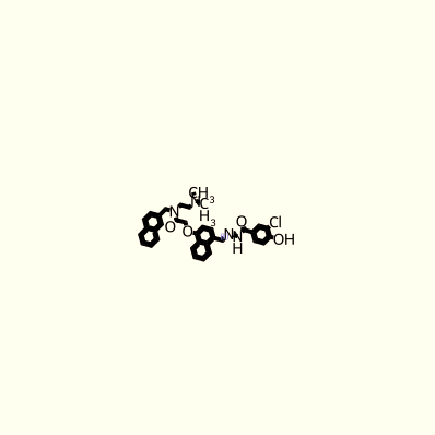 CN(C)CCN(Cc1ccc2ccccc2c1)C(=O)COc1ccc(/C=N/NC(=O)c2ccc(O)c(Cl)c2)c2ccccc12